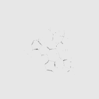 CN[C@@H](C)CN(C(=O)C(F)(F)F)[C@@H]1C(=O)N(Cc2cc(Cl)ccc2OC)c2ccccc2N(C(=O)CS(C)(=O)=O)[C@H]1C